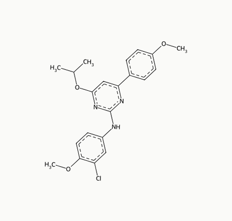 COc1ccc(-c2cc(OC(C)C)nc(Nc3ccc(OC)c(Cl)c3)n2)cc1